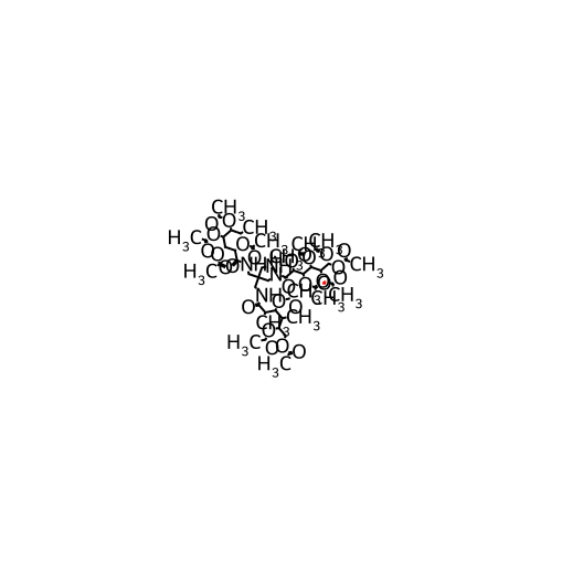 CCC(OC(C)=O)C(OC(C)=O)C(OC(C)=O)C(OC(C)=O)C(=O)NCC(CNC)(CNC(=O)C(C)C(OC(C)=O)C(C)C(COC(C)=O)OC(C)=O)CNC(=O)C(OC(C)=O)C(OC(C)=O)C(OC(C)=O)C(COC(C)=O)OC(C)=O